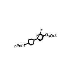 CCCCCCCCOc1ccc(C2CCC(CCCCC)CC2)nc1F